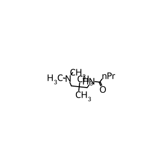 CCCC(=O)NCC(C)(C)CN(C)C